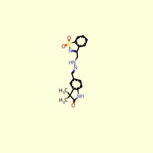 CC1(C)C(=O)Nc2ccc(/C=N/NCC3=NS(=O)(=O)c4ccccc43)cc21